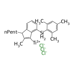 CCCCCC1C(C)=[C]([Ti+3])c2c([SiH2]c3c(C)cc(C)cc3C)cccc21.[Cl-].[Cl-].[Cl-]